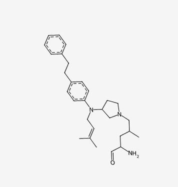 CC(C)=CCN(c1ccc(CCc2ccccc2)cc1)C1CCN(CC(C)CC(N)C=O)C1